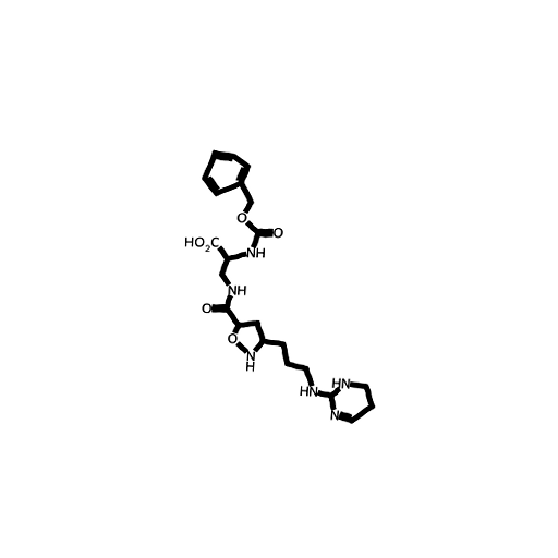 O=C(NC(CNC(=O)C1CC(CCCNC2N=CCCN2)NO1)C(=O)O)OCc1ccccc1